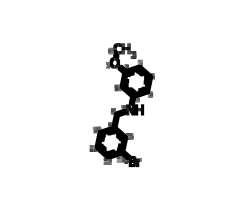 COc1cccc(NCc2cccc(Br)c2)c1